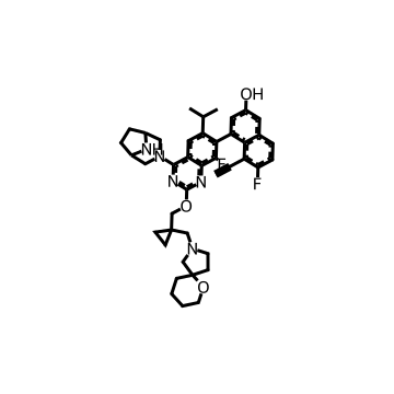 C#Cc1c(F)ccc2cc(O)cc(-c3c(C(C)C)cc4c(N5CC6CCC(C5)N6)nc(OCC5(CN6CCC7(CCCCO7)C6)CC5)nc4c3F)c12